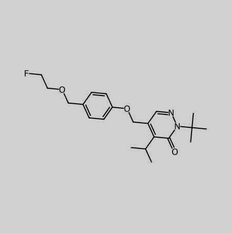 CC(C)c1c(COc2ccc(COCCF)cc2)cnn(C(C)(C)C)c1=O